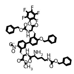 COC(=O)[C@H](Cc1cc(-c2ccc(OCc3ccccc3)c(C[C@H](NC(=O)OCc3ccccc3)C(=O)Oc3c(F)c(F)c(F)c(F)c3F)c2)ccc1[N+](=O)[O-])NC(=O)[C@@H](N)CCCNC(=O)OCc1ccccc1